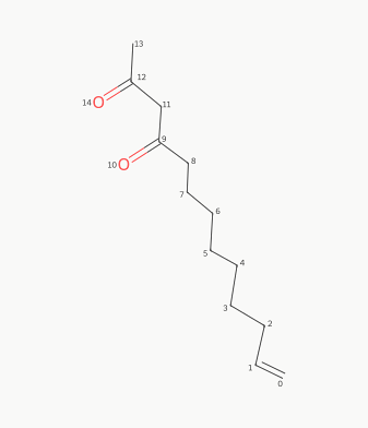 C=CCCCCCCCC(=O)CC(C)=O